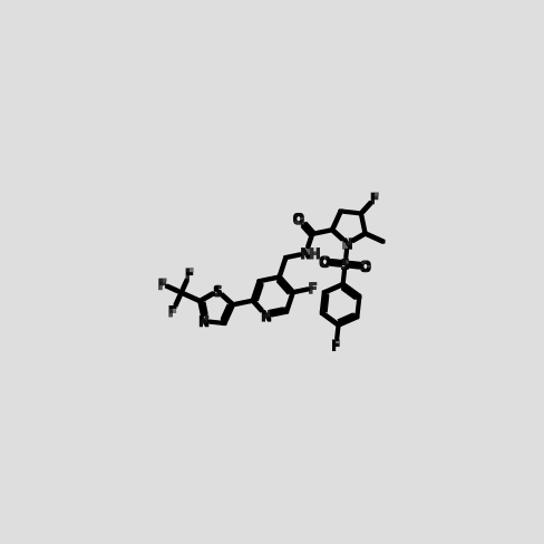 CC1C(F)CC(C(=O)NCc2cc(-c3cnc(C(F)(F)F)s3)ncc2F)N1S(=O)(=O)c1ccc(F)cc1